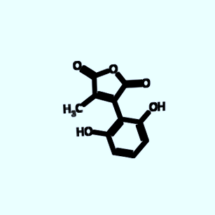 CC1=C(c2c(O)cccc2O)C(=O)OC1=O